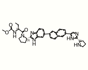 CC[C@H](NC(=O)OC)C(=O)N1CCC[C@H]1c1nc2ccc(-c3ccc4cc(-c5cnc([C@@H]6CCCN6)[nH]5)ccc4c3)cc2[nH]1